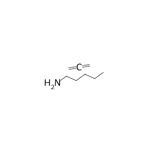 C=C=C.CCCCCN